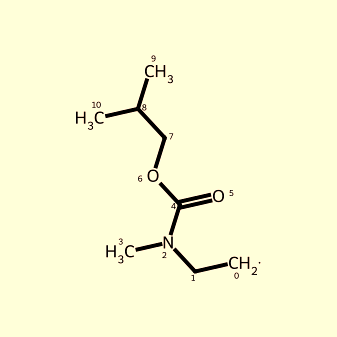 [CH2]CN(C)C(=O)OCC(C)C